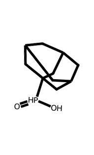 O=[PH](O)C12CC3CC(CC(C3)C1)C2